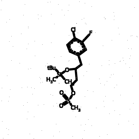 CC(C)(C)[Si](C)(C)OC(CCOS(C)(=O)=O)Cc1ccc(Cl)c(F)c1